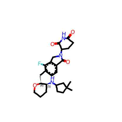 CC1(C)CCC(N[C@H]2CCCO[C@@H]2Cc2ccc3c(c2F)CN(C2CCC(=O)NC2=O)C3=O)C1